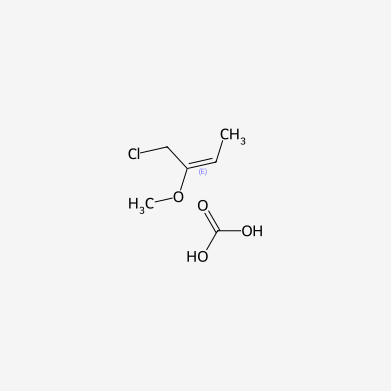 C/C=C(\CCl)OC.O=C(O)O